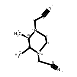 CC1[C@@H](C)N(CC#N)CCN1CC#N